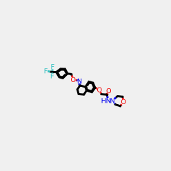 O=C(COc1ccc2c(c1)CCCC2=NOCc1ccc(C(F)(F)F)cc1)NN1CCOCC1